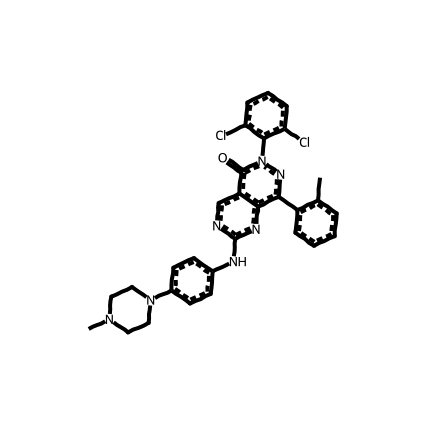 Cc1ccccc1-c1nn(-c2c(Cl)cccc2Cl)c(=O)c2cnc(Nc3ccc(N4CCN(C)CC4)cc3)nc12